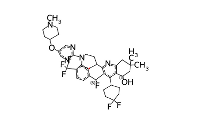 CN1CCC(Oc2cnc(N3CCC(c4nc5c(c(C6CCC(F)(F)CC6)c4[C@@H](F)c4ccc(C(F)(F)F)cc4)[C@@H](O)CC(C)(C)C5)CC3)nc2)CC1